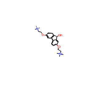 C[N+](C)(C)CCOc1ccc2c(c1)-c1ccc(OCC[N+](C)(C)C)cc1C2O